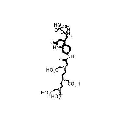 NC(Cc1cc(=O)[nH]c2cc(NC(=O)CN(CCN(CCN(CC(=O)O)CC(=O)O)CC(=O)O)CC(=O)O)ccc12)OP(=O)(O)O